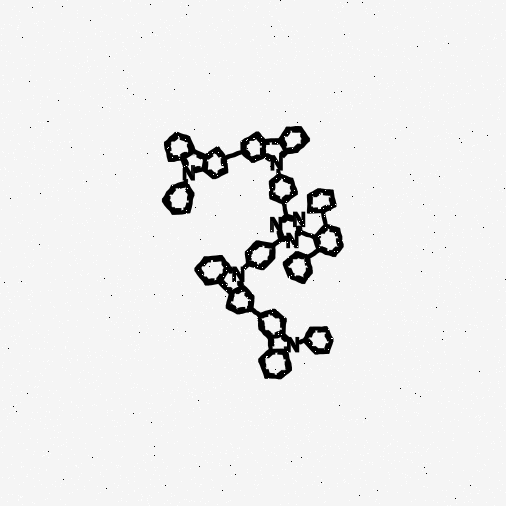 c1ccc(-c2cccc(-c3ccccc3)c2-c2nc(-c3ccc(-n4c5ccccc5c5ccc(-c6ccc7c(c6)c6ccccc6n7-c6ccccc6)cc54)cc3)nc(-c3ccc(-n4c5ccccc5c5ccc(-c6ccc7c(c6)c6ccccc6n7-c6ccccc6)cc54)cc3)n2)cc1